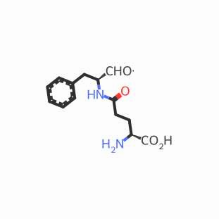 N[C@@H](CCC(=O)N[C@H]([C]=O)Cc1ccccc1)C(=O)O